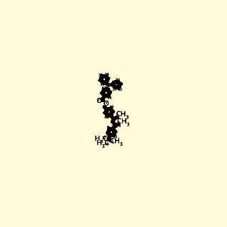 CCC(CC(CC)c1ccc(C(C)(C)C)cc1)c1ccc(COC(=O)c2ccc(P(c3ccccc3)c3ccccc3)cc2)cc1